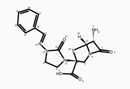 N[C@@H]1C(=O)N2C[C@@](C(=O)O)(N3CCN(N=Cc4ccccc4)C3=O)S[C@H]12